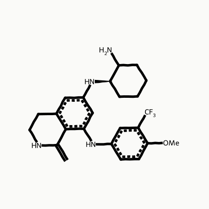 C=C1NCCc2cc(N[C@@H]3CCCCC3N)cc(Nc3ccc(OC)c(C(F)(F)F)c3)c21